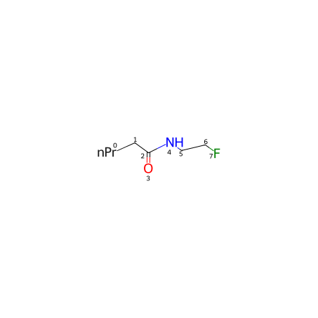 CCCCC(=O)NCCF